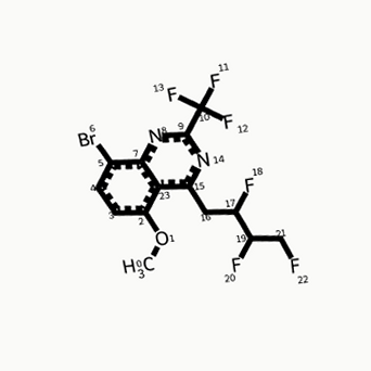 COc1ccc(Br)c2nc(C(F)(F)F)nc(CC(F)C(F)CF)c12